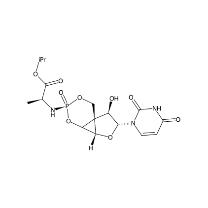 CC(C)OC(=O)[C@H](C)N[P@@]1(=O)OC[C@]23C(O1)[C@H]2O[C@@H](n1ccc(=O)[nH]c1=O)[C@@H]3O